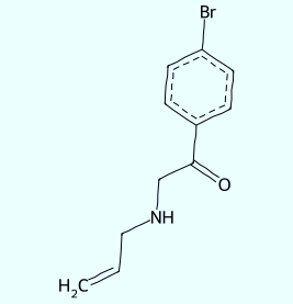 C=CCNCC(=O)c1ccc(Br)cc1